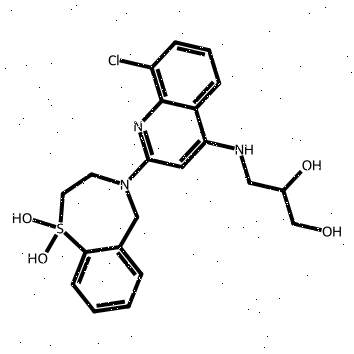 OCC(O)CNc1cc(N2CCS(O)(O)c3ccccc3C2)nc2c(Cl)cccc12